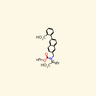 CCCOC(=O)N(Cc1ccc2cc(-c3ccccc3C(=O)O)ccc2c1)[C@H](C(=O)O)C(C)C